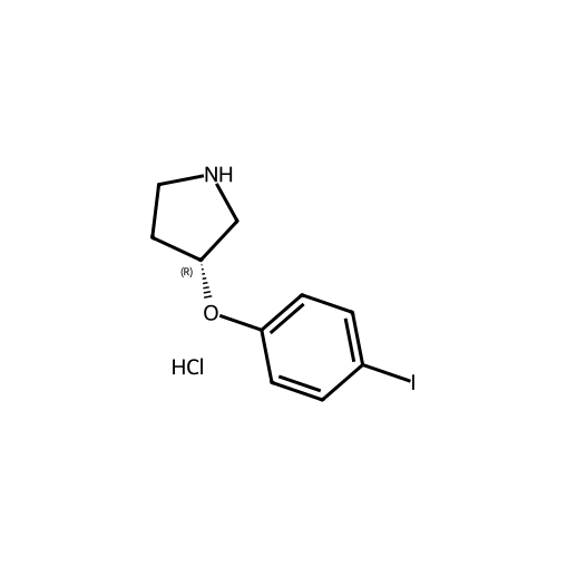 Cl.Ic1ccc(O[C@@H]2CCNC2)cc1